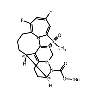 CC(C)(C)OC(=O)N1[C@H]2CCC3=C4C(=NCN31)N1C(S(C)(=O)=O)=CC(F)=CC(F)=C1CCC[C@H]42